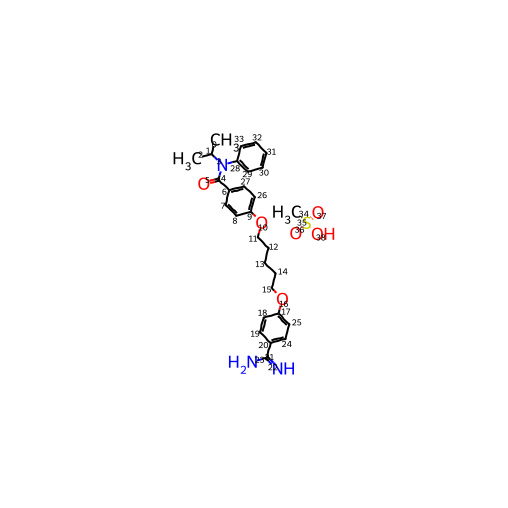 CC(C)N(C(=O)c1ccc(OCCCCCOc2ccc(C(=N)N)cc2)cc1)c1ccccc1.CS(=O)(=O)O